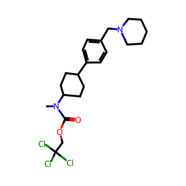 CN(C(=O)OCC(Cl)(Cl)Cl)C1CCC(c2ccc(CN3CCCCC3)cc2)CC1